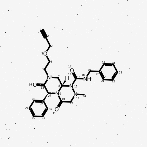 C#CCOCCN1C[C@H]2N(C(=O)CN(C)N2C(=O)NCc2ccccc2)[C@@H](c2ccccc2)C1=O